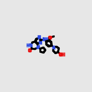 COc1cc(N2CCC(O)CC2)ccc1Nc1ncc2c(n1)N(C1CCCC1)CC(=O)NC2